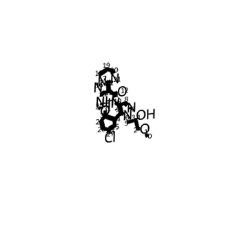 COC[C@H](O)Cn1ncc(NC(=O)c2c(N)nn3cccnc23)c1-c1cc(Cl)ccc1OC